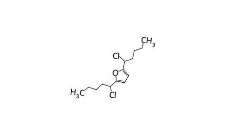 CCCCC(Cl)c1ccc(C(Cl)CCCC)o1